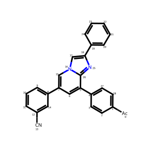 CC(=O)c1ccc(-c2cc(-c3cccc(C#N)c3)cn3cc(-c4ccccc4)nc23)cc1